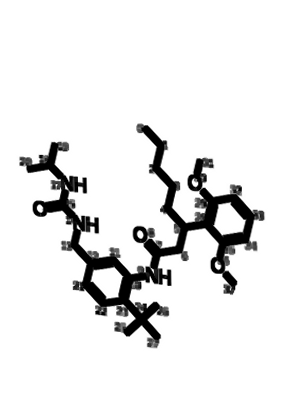 CCCCCC(CC(=O)Nc1cc(CNC(=O)NC(C)C)ccc1C(C)(C)C)c1c(OC)cccc1OC